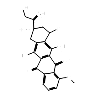 COc1cccc2c1C(=O)c1c(O)c3c(c(O)c1C2=O)C[C@@](O)(C(=N)CO)CC3I